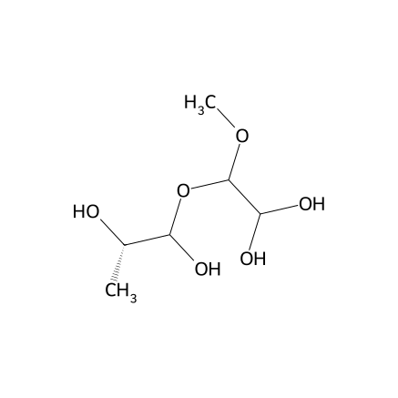 COC(OC(O)[C@H](C)O)C(O)O